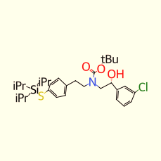 CC(C)[Si](Sc1ccc(CCN(C[C@H](O)c2cccc(Cl)c2)C(=O)OC(C)(C)C)cc1)(C(C)C)C(C)C